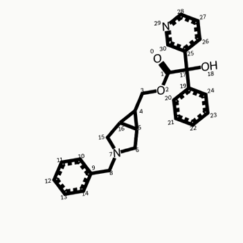 O=C(OCC1C2CN(Cc3ccccc3)CC12)C(O)(c1ccccc1)c1cccnc1